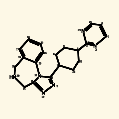 c1cnc(C2CCC(c3nnc4n3-c3ccccc3CNC4)CC2)nc1